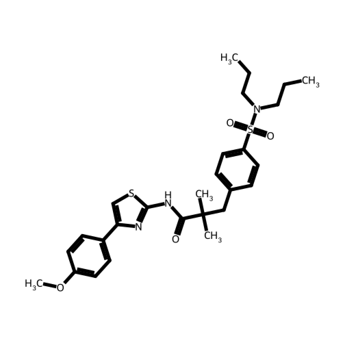 CCCN(CCC)S(=O)(=O)c1ccc(CC(C)(C)C(=O)Nc2nc(-c3ccc(OC)cc3)cs2)cc1